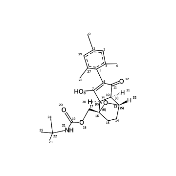 Cc1cc(C)c(C2=C(O)[C@H]3[C@@H](C2=O)[C@@H]2CC[C@@]3(COC(=O)NC(C)(C)C)O2)c(C)c1